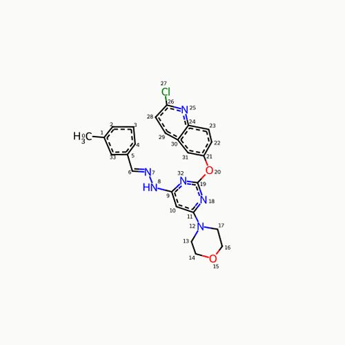 Cc1cccc(C=NNc2cc(N3CCOCC3)nc(Oc3ccc4nc(Cl)ccc4c3)n2)c1